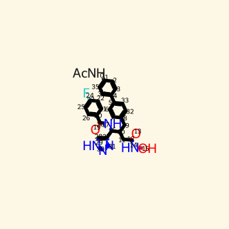 CC(=O)Nc1ccc(-c2ccc(CC(CC(=O)NO)C(NC(=O)c3ccc(F)cc3)c3c[nH]nn3)cc2)cc1